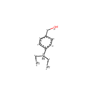 CC(C)C[SiH](CC(C)C)c1ccc(CO)cc1